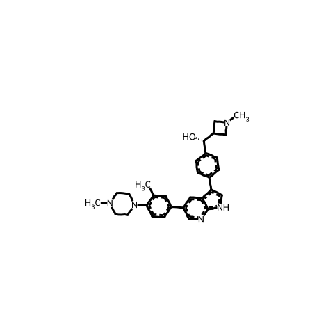 Cc1cc(-c2cnc3[nH]cc(-c4ccc([C@H](O)C5CN(C)C5)cc4)c3c2)ccc1N1CCN(C)CC1